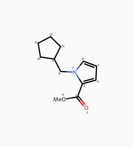 COC(=O)c1cccn1CC1CCCC1